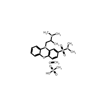 C=O.CC(CN1c2ccccc2Sc2ccc(S(=O)(=O)N(C)C)cc21)N(C)C.CS(=O)(=O)O